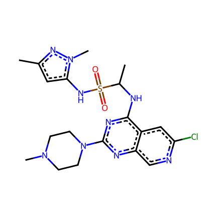 Cc1cc(NS(=O)(=O)C(C)Nc2nc(N3CCN(C)CC3)nc3cnc(Cl)cc23)n(C)n1